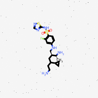 C[C@@H](N)[C@H](CNc1ccc(S(=O)(=O)Nc2ncns2)c(F)c1)CC(CCN)C1CC1